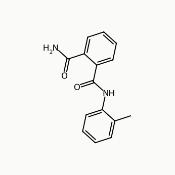 Cc1ccccc1NC(=O)c1ccccc1C(N)=O